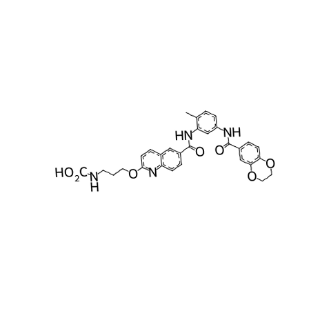 Cc1ccc(NC(=O)c2ccc3c(c2)OCCO3)cc1NC(=O)c1ccc2nc(OCCCNC(=O)O)ccc2c1